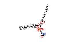 CCCCCCCCCCCCCC(=O)OC[C@H](COP(=O)(O)OCCNC(C)=O)OC(=O)CCCCCCCCCCCCC